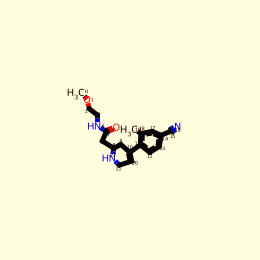 COCCNC(=O)C[C]1CC(c2ccc(C#N)cc2C)=CCN1